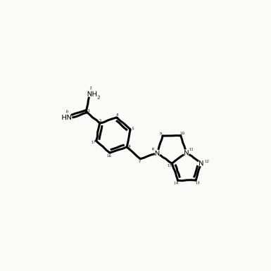 N=C(N)c1ccc(CN2CCn3nccc32)cc1